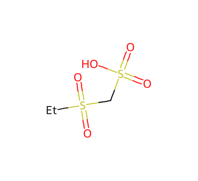 CCS(=O)(=O)CS(=O)(=O)O